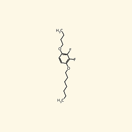 CCCCCCCOc1ccc(OCCCC)c(F)c1F